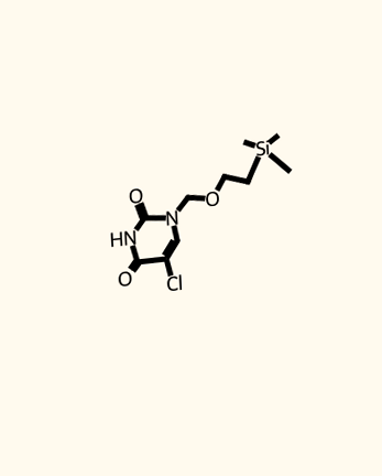 C[Si](C)(C)CCOCn1cc(Cl)c(=O)[nH]c1=O